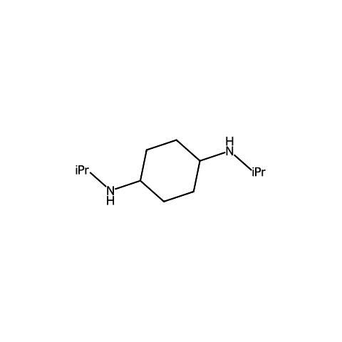 CC(C)NC1CCC(NC(C)C)CC1